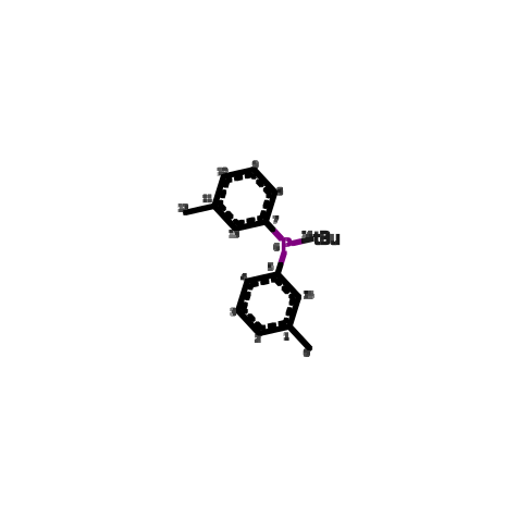 Cc1cccc(P(c2cccc(C)c2)C(C)(C)C)c1